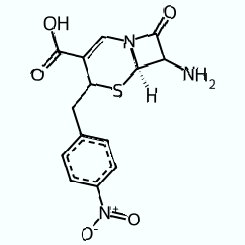 NC1C(=O)N2C=C(C(=O)O)C(Cc3ccc([N+](=O)[O-])cc3)S[C@H]12